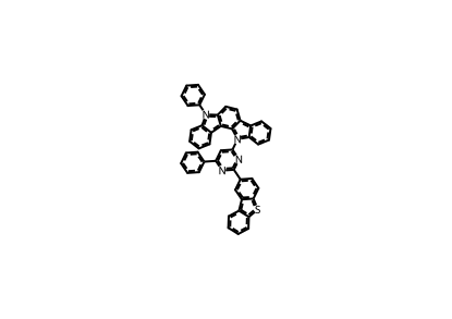 c1ccc(-c2cc(-n3c4ccccc4c4ccc5c(c6ccccc6n5-c5ccccc5)c43)nc(-c3ccc4sc5ccccc5c4c3)n2)cc1